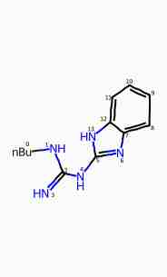 CCCCNC(=N)Nc1nc2ccccc2[nH]1